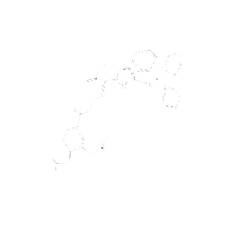 CC(=O)Oc1ccc(C(=O)CON=C(C(=O)O)c2csc(NC(c3ccccc3)(c3ccccc3)c3ccccc3)n2)cc1OC(C)=O